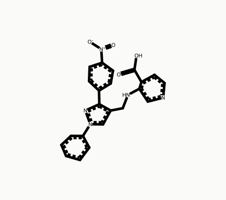 O=C(O)c1ccncc1NCc1cn(-c2ccccc2)nc1-c1ccc([N+](=O)[O-])cc1